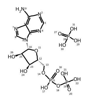 Nc1ncnc2c1ncn2[C@@H]1O[C@H](COP(=O)(O)OP(=O)(O)O)[C@@H](O)[C@H]1O.O=P(O)(O)O